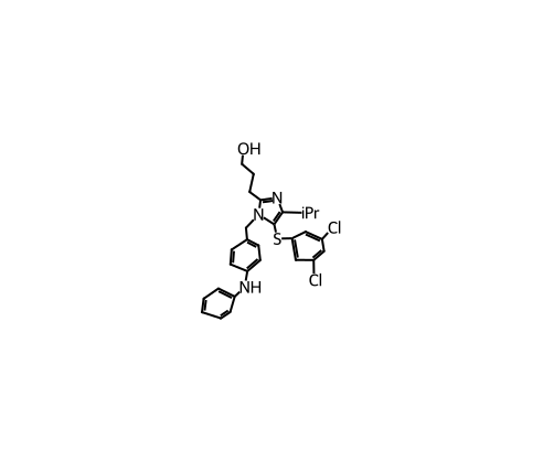 CC(C)c1nc(CCCO)n(Cc2ccc(Nc3ccccc3)cc2)c1Sc1cc(Cl)cc(Cl)c1